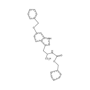 O=C(NC(Cc1c[nH]c2cc(OCc3ccccc3)ccc12)C(=O)O)OCc1ccccc1